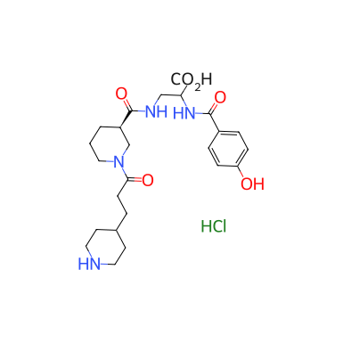 Cl.O=C(NC(CNC(=O)[C@@H]1CCCN(C(=O)CCC2CCNCC2)C1)C(=O)O)c1ccc(O)cc1